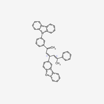 C=C(/C=C(\C=C(/C)c1ccccc1)c1ccc2oc3ccccc3c2c1)c1cccc(-n2c3ccccc3c3ccccc32)c1